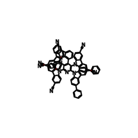 N#Cc1ccc2c(c1)c1cc(C#N)ccc1n2-c1nc(-n2c3ccc(-c4ccccc4)cc3c3cc(-c4ccccc4)ccc32)c(-n2c3ccc(C#N)cc3c3cc(C#N)ccc32)c(-c2cccc3c4ccccc4n(-c4ccccc4)c23)c1-n1c2ccc(C#N)cc2c2cc(C#N)ccc21